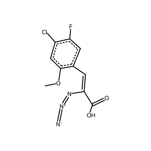 COc1cc(Cl)c(F)cc1/C=C(\N=[N+]=[N-])C(=O)O